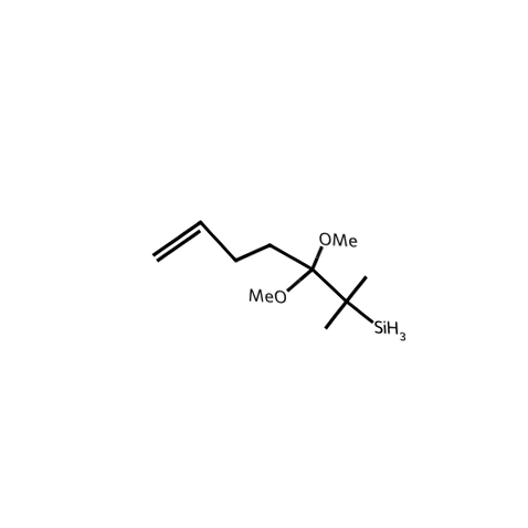 C=CCCC(OC)(OC)C(C)(C)[SiH3]